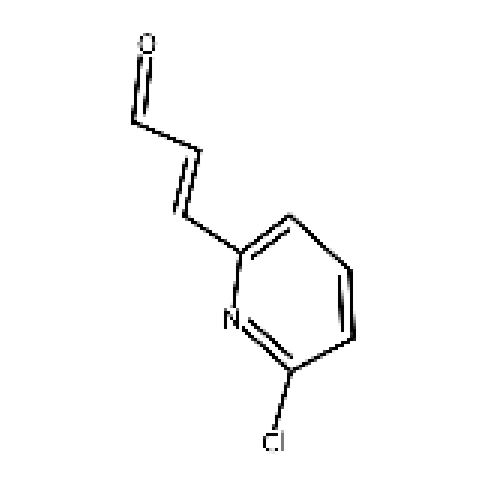 O=C/C=C/c1cccc(Cl)n1